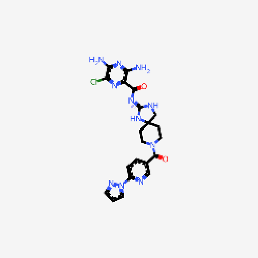 Nc1nc(N)c(C(=O)/N=C2\NCC3(CCN(C(=O)c4ccc(-n5cccn5)nc4)CC3)N2)nc1Cl